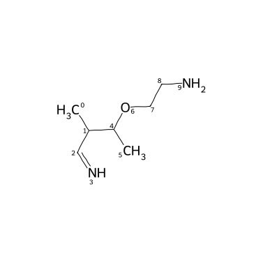 CC(C=N)C(C)OCCN